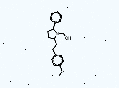 COc1ccc(CCC2CCC(c3ccccc3)N2CO)cc1